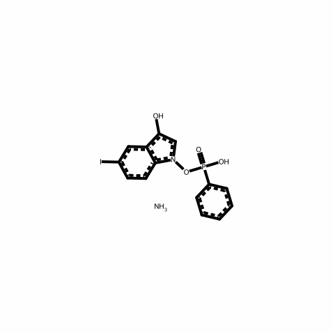 N.O=P(O)(On1cc(O)c2cc(I)ccc21)c1ccccc1